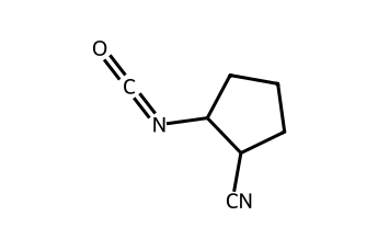 N#CC1CCCC1N=C=O